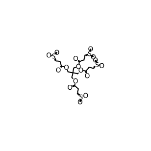 O=C(CC=S(=O)=O)OCC(COC(=O)CC=S(=O)=O)(COC(=O)CC=S(=O)=O)COC(=O)CC=S(=O)=O